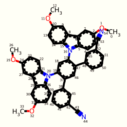 COc1ccc2c(c1)c1cc(OC)ccc1n2-c1cc(-n2c3ccc(OC)cc3c3cc(OC)ccc32)c(-c2cccc(C#N)c2)cc1-c1cccc(C#N)c1